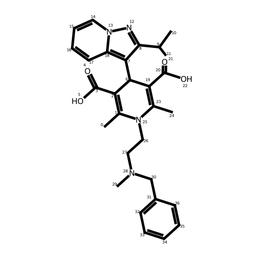 CC1=C(C(=O)O)C(c2c(C(C)C)nn3ccccc23)C(C(=O)O)=C(C)N1CCN(C)Cc1ccccc1